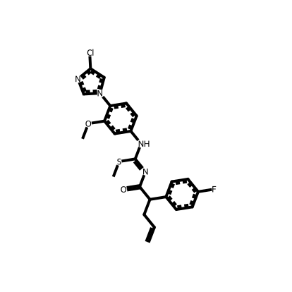 C=CCC(C(=O)N=C(Nc1ccc(-n2cnc(Cl)c2)c(OC)c1)SC)c1ccc(F)cc1